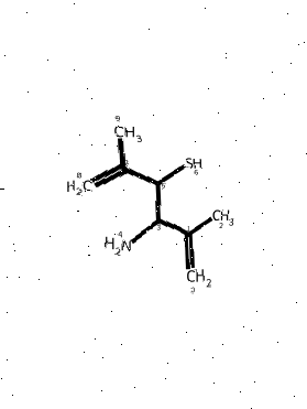 C=C(C)C(N)C(S)C(=C)C